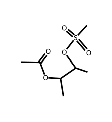 CC(=O)OC(C)C(C)OS(C)(=O)=O